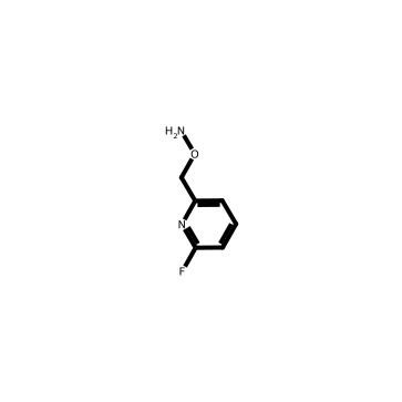 NOCc1cccc(F)n1